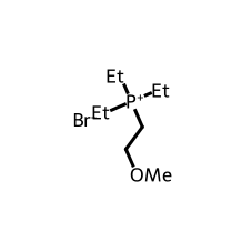 CC[P+](CC)(CC)CCOC.[Br-]